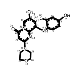 Cc1cc(Nc2ccc(O)cc2C)c2nc(N3CCOCC3)cc(=O)n2c1